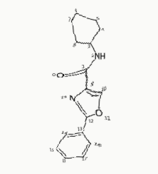 O=C(NC1CCCCC1)c1coc(-c2ccccc2)n1